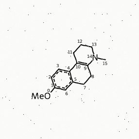 COc1ccc2c(c1)CCC1=C2CCCN1C